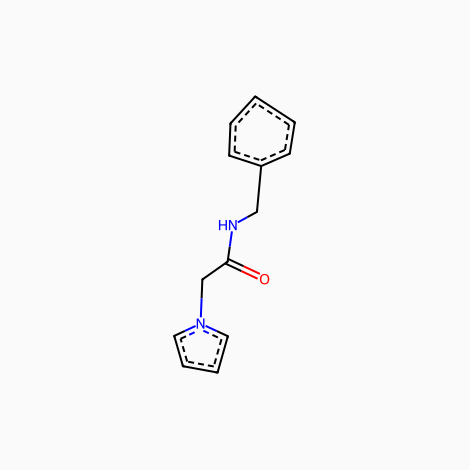 O=C(Cn1cccc1)NCc1ccccc1